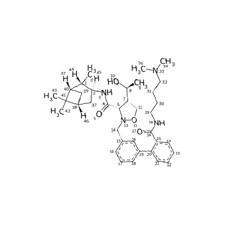 C[C@@H]1[C@@H](NC(=O)[C@@H]2[C@H]([C@H](C)O)CON2Cc2cccc(-c3ccccc3C(=O)NCCCCN(C)C)c2)C[C@H]2C[C@@H]1C2(C)C